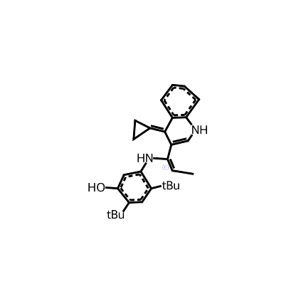 C/C=C(/Nc1cc(O)c(C(C)(C)C)cc1C(C)(C)C)C1=CNc2ccccc2C1=C1CC1